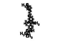 CC(C)OC(=O)Nc1ccc(-c2c(N)c3ccc(OCCCN4CCN(C)CC4)cc3n2C2CCC2)cc1